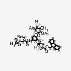 CC(=O)OC1[C@H](Oc2ccc(COC(=O)N(CBr)CCS(C)(=O)=O)cc2NC(=O)CN(C)C(=O)OCC2c3ccccc3-c3ccccc32)OC(C(C)=O)[C@@H](C)[C@@H]1C